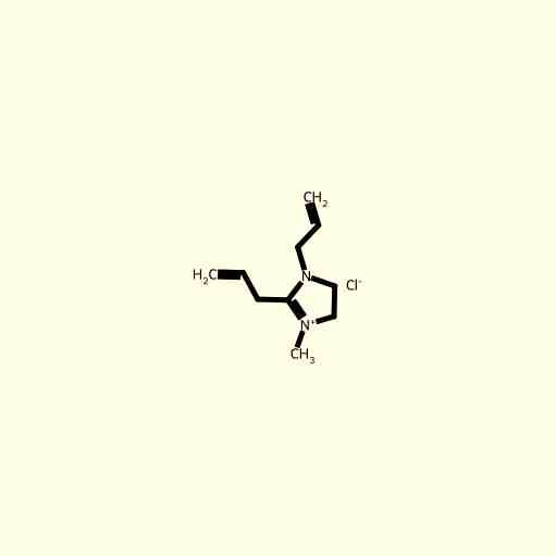 C=CCC1=[N+](C)CCN1CC=C.[Cl-]